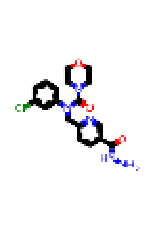 NNC(=O)c1ccc(CN(C(=O)N2CCOCC2)c2cccc(Cl)c2)nc1